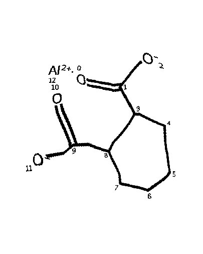 O=C([O-])C1CCCCC1C(=O)[O-].[Al+2]